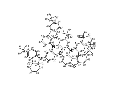 Cc1cc2c(cc1N1c3cc(C(C)(C)C)cc4c3B(c3ccc(N5c6ccc(C(C)(C)C)cc6C6(C)CCCCC56C)cc3N4c3cccc4c3sc3ccc(C(C)(C)C)cc34)c3ccc4sc5ccc(C(C)(C)C)cc5c4c31)C(C)(C)CCC2(C)C